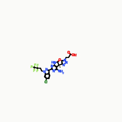 C[C@@]1(c2cn(CCC(=O)O)nn2)C(=O)Nc2nc(-c3nn(CCC(F)(F)C(F)(F)F)c4cc(Cl)ccc34)nc(N)c21